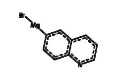 [Br][Mg][c]1ccc2ncccc2c1